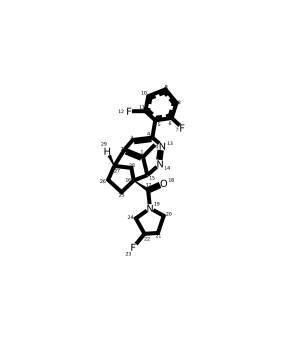 CC1=C2C=C(c3c(F)cccc3F)N=NC1[C@]1(C(=O)N3CCC(F)C3)CC[C@H]2C1